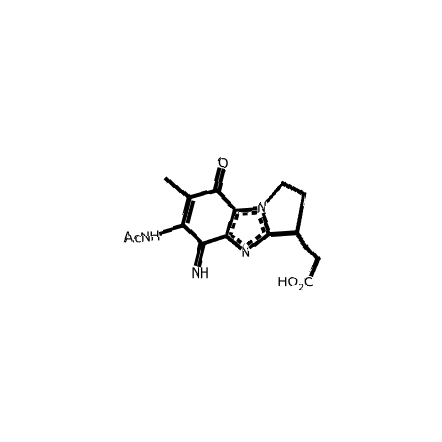 CC(=O)NC1=C(C)C(=O)c2c(nc3n2CCC3CC(=O)O)C1=N